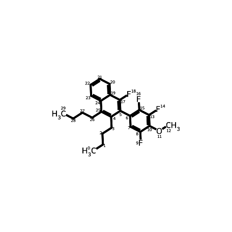 CCCCc1c(-c2cc(F)c(OC)c(F)c2F)c(F)c2ccccc2c1CCCC